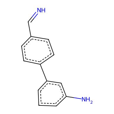 N=Cc1ccc(-c2cccc(N)c2)cc1